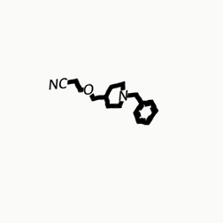 N#CCCOCC1CCN(Cc2ccccc2)CC1